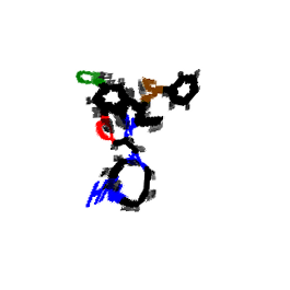 Cc1c(Sc2ccccc2)c2cc(Cl)cc3c2n1C(CN1CCCNCC1)CO3